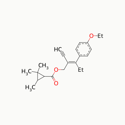 C#C/C(COC(=O)C1C(C)C1(C)C)=C(/CC)c1ccc(OCC)cc1